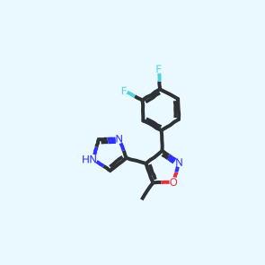 Cc1onc(-c2ccc(F)c(F)c2)c1-c1c[nH]cn1